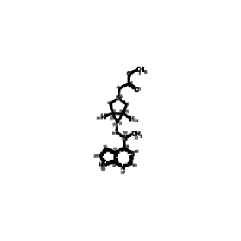 COC(=O)CN1C[C@@H]2[C@H](C1)[C@@H]2CN(C)c1ncnc2[nH]ccc12